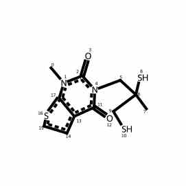 Cn1c(=O)n(CC(C)(S)CS)c(=O)c2ccsc21